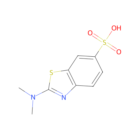 CN(C)c1nc2ccc(S(=O)(=O)O)cc2s1